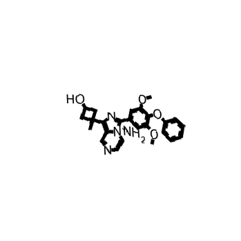 COc1cc(C2=NC(C3(C)CC(O)C3)=C3C=NC=C[N+]23N)cc(OC)c1Oc1ccccc1